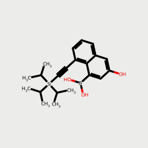 CC(C)[Si](C#Cc1cccc2cc(O)cc(B(O)O)c12)(C(C)C)C(C)C